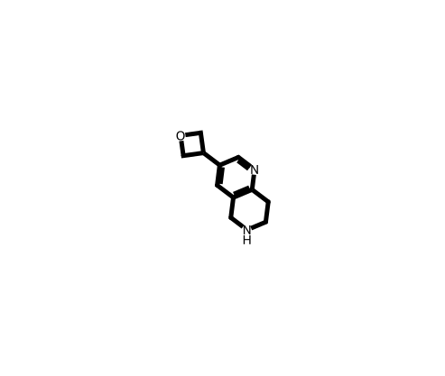 c1nc2c(cc1C1COC1)CNCC2